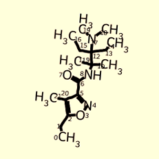 CCc1onc(C(=O)NC(C)(C)C(CC)(CC)N(C)C)c1C